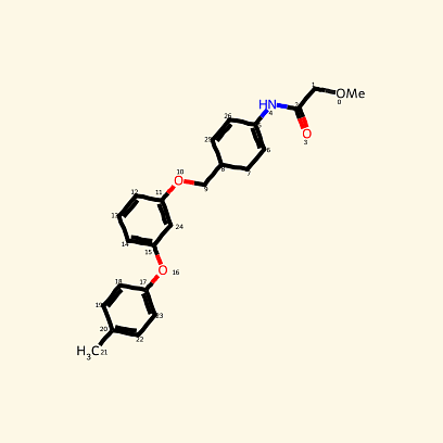 COCC(=O)NC1=CCC(COc2cccc(Oc3ccc(C)cc3)c2)C=C1